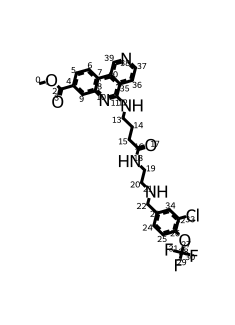 COC(=O)c1ccc2c(c1)nc(NCCCC(=O)NCCNCc1ccc(OC(F)(F)F)c(Cl)c1)c1ccncc12